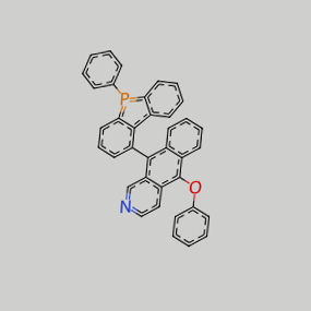 c1ccc(Oc2c3ccccc3c(-c3cccc4c3c3ccccc3p4-c3ccccc3)c3cnccc23)cc1